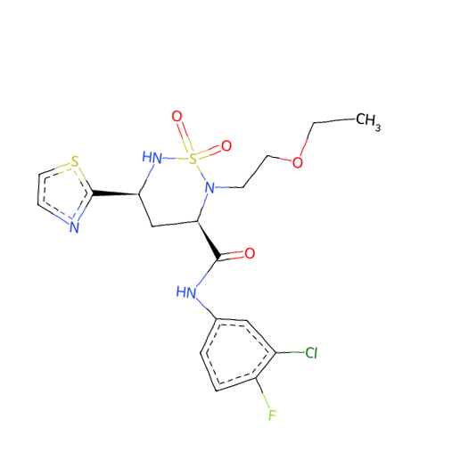 CCOCCN1[C@@H](C(=O)Nc2ccc(F)c(Cl)c2)C[C@@H](c2nccs2)NS1(=O)=O